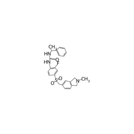 CC(NC(=O)Nc1ccc(S(=O)(=O)Cc2ccc3c(c2)CN(C)C3)cc1F)c1ccccc1